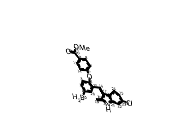 Bc1ccc(Oc2ccc(C(=O)OC)cc2)c(C=c2c(=C)[nH]c3cc(Cl)ccc23)c1